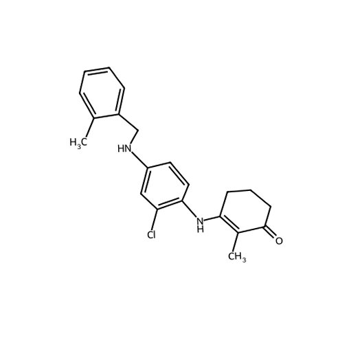 CC1=C(Nc2ccc(NCc3ccccc3C)cc2Cl)CCCC1=O